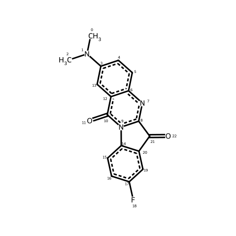 CN(C)c1ccc2nc3n(c(=O)c2c1)-c1ccc(F)cc1C3=O